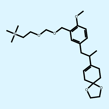 COc1ccc(CC(C)C2=CCC3(CC2)OCCO3)cc1COCOCC[Si](C)(C)C